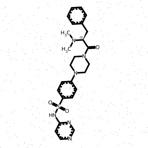 CN(C)[C@@H](Cc1ccccc1)C(=O)N1CCN(c2ccc(S(=O)(=O)Nc3ccncn3)cc2)CC1